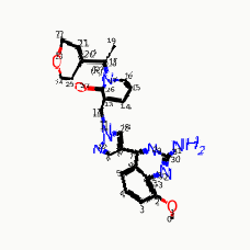 COc1cccc2c(-c3cnn(Cc4cccn([C@H](C)C5CCOCC5)c4=O)c3)nc(N)nc12